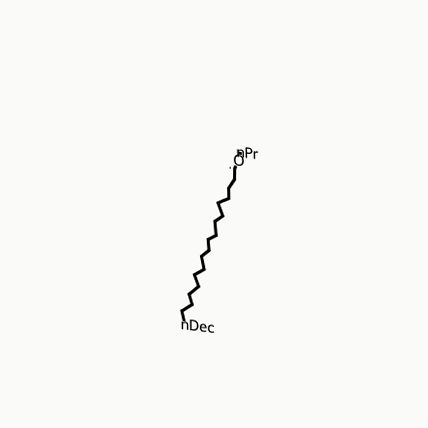 CCCCCCCCCCCCCCCCCCCCCCCCCC[CH]OCCC